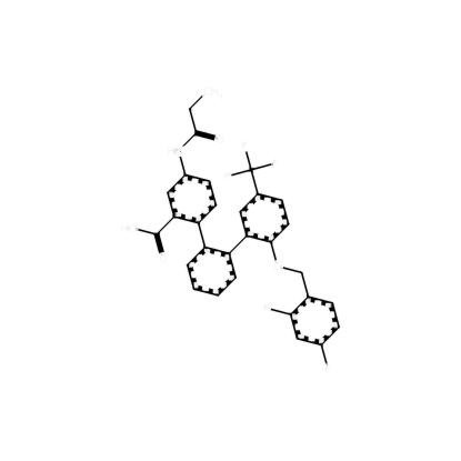 CCC(=O)Nc1ccc(-c2ccccc2-c2cc(C(F)(F)F)ccc2OCc2ccc(F)cc2F)c(C(=O)O)c1